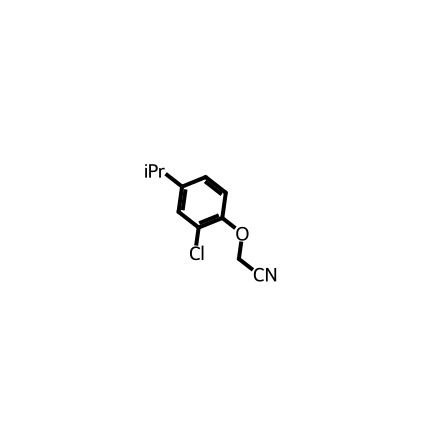 CC(C)c1ccc(OCC#N)c(Cl)c1